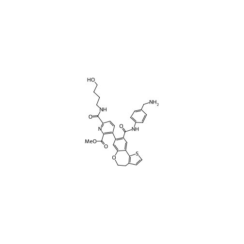 COC(=O)c1nc(C(=O)NCCCCO)ccc1-c1cc2c(cc1C(=O)Nc1ccc(CN)cc1)-c1sccc1CCO2